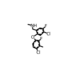 CNCc1cc(F)c(Cl)cc1Oc1ccc(Cl)c(C)c1F